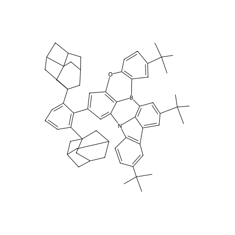 CC(C)(C)c1ccc2c(c1)B1c3c(cc(-c4c(C56CC7CC(CC(C7)C5)C6)cccc4C45CC6CC7CC(C4)C7(C6)C5)cc3-n3c4ccc(C(C)(C)C)cc4c4cc(C(C)(C)C)cc1c43)O2